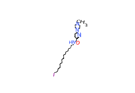 CN1CCN(c2ccc(C(=O)NCCCCCCCCCCCCCCCCI)cn2)CC1